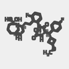 COC1CC([C@H](c2ccc(F)cc2)[C@H](NC(=O)O)C(=O)Nc2cccc(F)c2CC[C@H]2CN[C@@H]3CCCS(O)(O)N2C3)C1